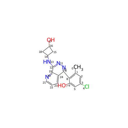 Cc1cc(Cl)cc(O)c1-c1nnc(NC2CC(O)C2)c2ncccc12